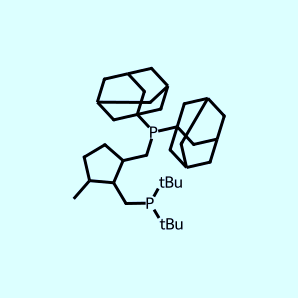 CC1CCC(CP(C23CC4CC(CC(C4)C2)C3)C23CC4CC(CC(C4)C2)C3)C1CP(C(C)(C)C)C(C)(C)C